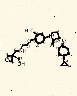 Cc1cc(N2CC[C@H](Oc3ccc(C4CC4)cc3)C2=O)ccc1OCCNCC1(CO)COC1